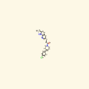 C=C1CCc2cc(/C=C/C(=O)N3CCC=C(c4ccc(Cl)cc4)CC3)cnc2N1